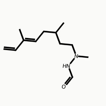 C=C/C(C)=C/CC(C)CCN(C)NC=O